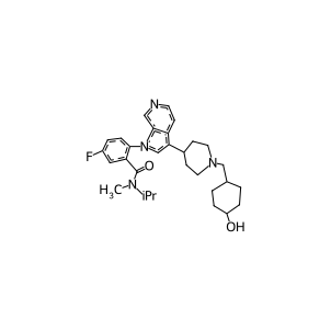 CC(C)N(C)C(=O)c1cc(F)ccc1-n1cc(C2CCN(CC3CCC(O)CC3)CC2)c2ccncc21